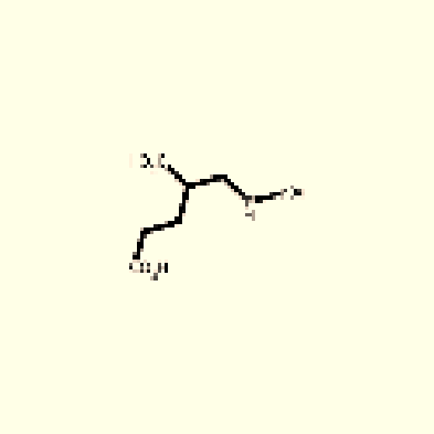 CCCCPCC(CCC(=O)O)C(=O)O